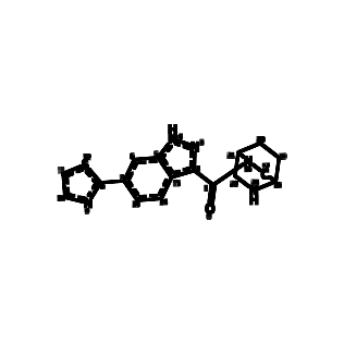 O=C(c1n[nH]c2cc(-c3nccs3)ccc12)N1CC2CCC1CN2